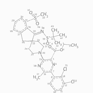 CCOC(=O)c1nc(-c2cccc(Cl)c2Cl)c(C)nc1N1CCC2(CC1)Cc1cccc(S(C)(=O)=O)c1C2=N[S@+]([O-])C(C)(C)C